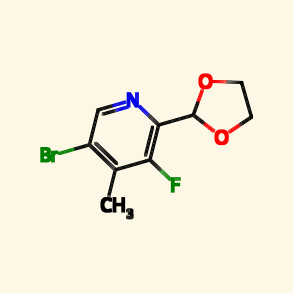 Cc1c(Br)cnc(C2OCCO2)c1F